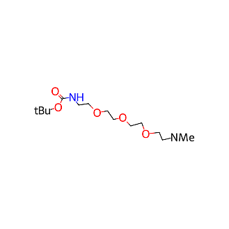 CNCCOCCOCCOCCNC(=O)OC(C)(C)C